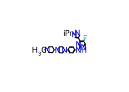 CC(C)n1cc(-c2nc(Nc3ccc(N4CCN(C5CCN(C)CC5)CC4)cc3)ncc2F)cn1